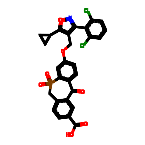 O=C(O)c1ccc2c(c1)C(=O)c1ccc(OCc3c(-c4c(Cl)cccc4Cl)noc3C3CC3)cc1S(=O)(=O)C2